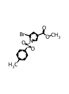 COC(=O)c1cc(Br)n(S(=O)(=O)c2ccc(C)cc2)c1